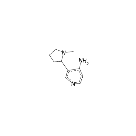 CN1CCCC1c1cnccc1N